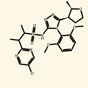 COc1cccc(OC)c1-n1c(NS(=O)(=O)C(C)C(C)c2ncc(Cl)cn2)nnc1[C@@H]1CCO[C@@H]1C